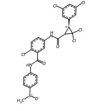 C[S+]([O-])c1ccc(NC(=O)c2cc(NC(=O)C3[C@@H](c4cc(Cl)cc(Cl)c4)C3(Cl)Cl)ccc2Cl)cc1